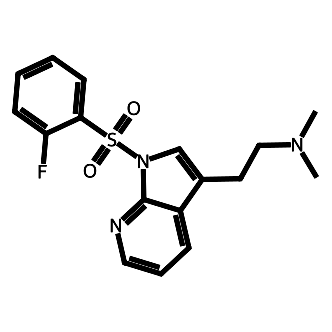 CN(C)CCc1cn(S(=O)(=O)c2ccccc2F)c2ncccc12